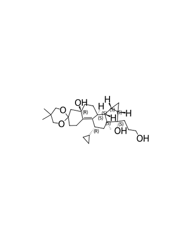 CC1(C)COC2(CCC3=C4[C@@H](CC[C@@]3(O)C2)[C@@H]2[C@@H]3C[C@@H]3[C@@](O)(CCCO)[C@@]2(C)C[C@@H]4C2CC2)OC1